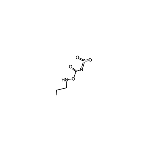 CCCNOC(=O)N=S(=O)=O